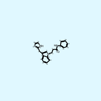 O=C(CCn1cc(Cc2ncc[nH]2)c2ccccc21)Nc1ccccc1